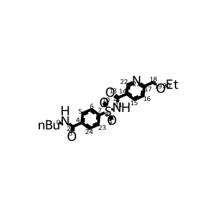 CCCCNC(=O)c1ccc(S(=O)(=O)NC(=O)c2ccc(COCC)nc2)cc1